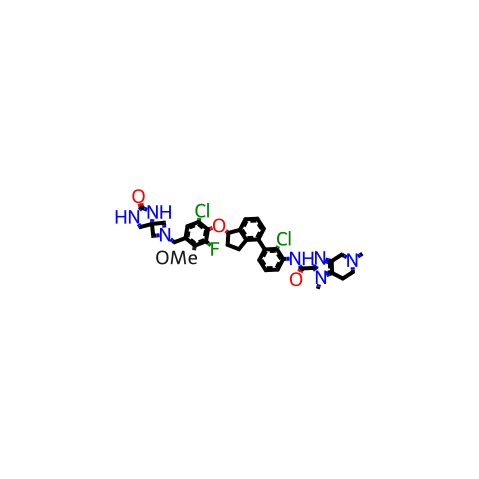 COc1c(CN2CC3(CNC(=O)N3)C2)cc(Cl)c(OC2CCc3c(-c4cccc(NC(=O)c5nc6c(n5C)CCN(C)C6)c4Cl)cccc32)c1F